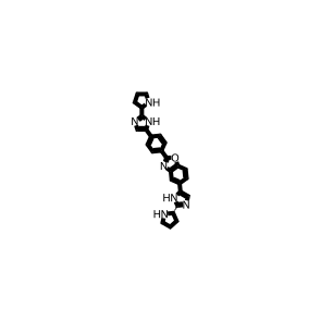 c1cc(-c2nc3cc(-c4cnc([C@@H]5CCCN5)[nH]4)ccc3o2)ccc1-c1cnc(C2CCCN2)[nH]1